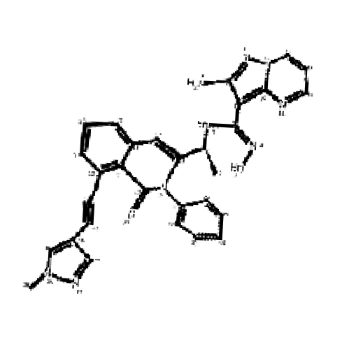 C[C@H](NC(=NO)c1c(N)nn2cccnc12)c1cc2cccc(C#Cc3cnn(C)c3)c2c(=O)n1-c1ccccc1